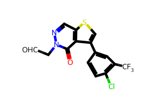 O=CCn1ncc2scc(-c3ccc(Cl)c(C(F)(F)F)c3)c2c1=O